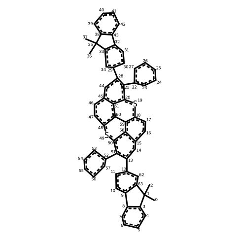 CC1(C)c2ccccc2-c2ccc(-c3cc4ccc5sc6c(-c7ccccc7)c(-c7ccc8c(c7)C(C)(C)c7ccccc7-8)cc7ccc8sc(c3-c3ccccc3)c4c5-c8c76)cc21